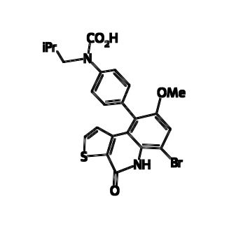 COc1cc(Br)c2[nH]c(=O)c3sccc3c2c1-c1ccc(N(CC(C)C)C(=O)O)cc1